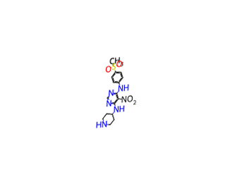 CS(=O)(=O)c1ccc(Nc2ncnc(NC3CCNCC3)c2[N+](=O)[O-])cc1